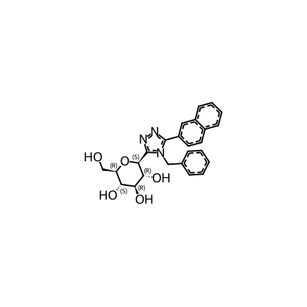 OC[C@H]1O[C@@H](c2nnc(-c3ccc4ccccc4c3)n2Cc2ccccc2)[C@H](O)[C@@H](O)[C@@H]1O